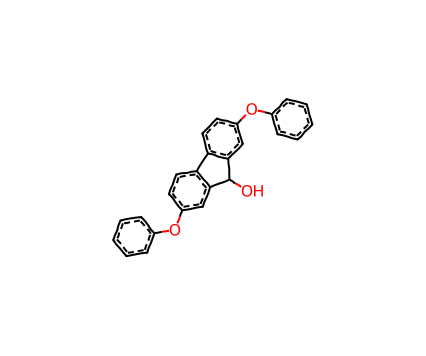 OC1c2cc(Oc3ccccc3)ccc2-c2ccc(Oc3ccccc3)cc21